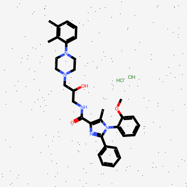 COc1ccccc1-n1c(-c2ccccc2)nc(C(=O)NCC(O)CN2CCN(c3cccc(C)c3C)CC2)c1C.Cl.Cl